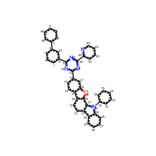 c1ccc(-c2cccc(-c3nc(-c4ccc5c(c4)oc4c5ccc5c6ccccc6n(-c6ccccc6)c54)nc(-c4ccccn4)n3)c2)cc1